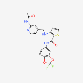 CC(=O)Nc1cc(CNc2ccsc2C(=O)Nc2ccc3c(c2)OC(F)(F)O3)ccn1